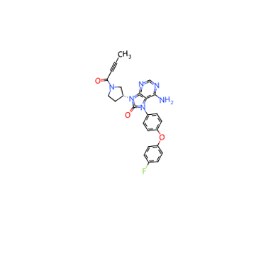 CC#CC(=O)N1CC[C@@H](n2c(=O)n(-c3ccc(Oc4ccc(F)cc4)cc3)c3c(N)ncnc32)C1